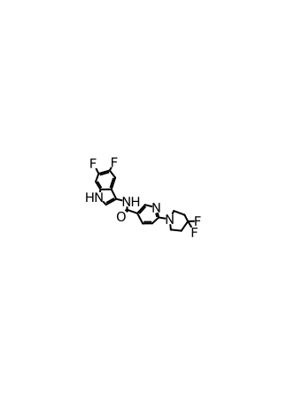 O=C(Nc1c[nH]c2cc(F)c(F)cc12)c1ccc(N2CCC(F)(F)CC2)nc1